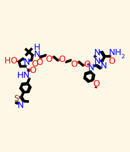 COc1cccc(N(OCCOCCOCCOCC(=O)N[C@H](C(=O)N2C[C@H](O)C[C@H]2C(=O)NCc2ccc(-c3scnc3C)cc2)C(C)(C)C)c2cnc3c(C(N)=O)cncn23)c1